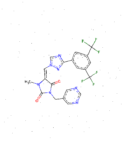 CN1C(=O)N(Cc2cncnc2)C(=O)C1=Cn1cnc(-c2cc(C(F)(F)F)cc(C(F)(F)F)c2)n1